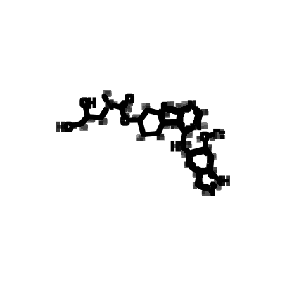 CCOc1cc2[nH]ncc2cc1Nc1ncnc2sc3c(c12)CCC(OC(=O)N(C)CC(O)CO)C3